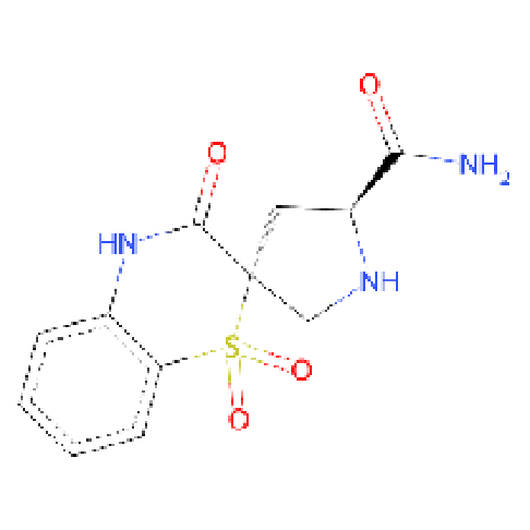 NC(=O)[C@@H]1C[C@@]2(CN1)C(=O)Nc1ccccc1S2(=O)=O